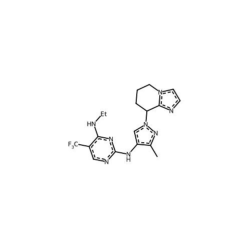 CCNc1nc(Nc2cn(C3CCCn4ccnc43)nc2C)ncc1C(F)(F)F